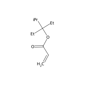 C=CC(=O)OC(CC)(CC)C(C)C